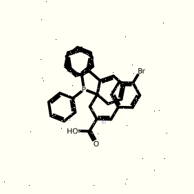 O=C(O)/C(=C/c1ccc(Br)cc1)CC1(P(c2ccccc2)c2ccccc2)CC=CC=C1c1ccccc1